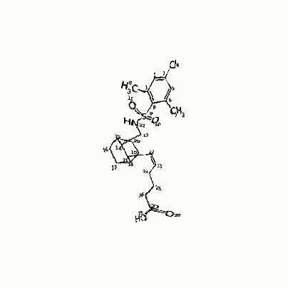 Cc1cc(Cl)cc(C)c1S(=O)(=O)NCC1C2CCC(CC2)C1/C=C\CCCC(=O)O